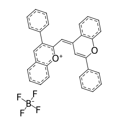 C1=C(c2ccccc2)Oc2ccccc2C1=Cc1[o+]c2ccccc2cc1-c1ccccc1.F[B-](F)(F)F